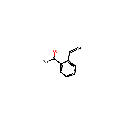 [CH]=Cc1ccccc1C(O)CCCC